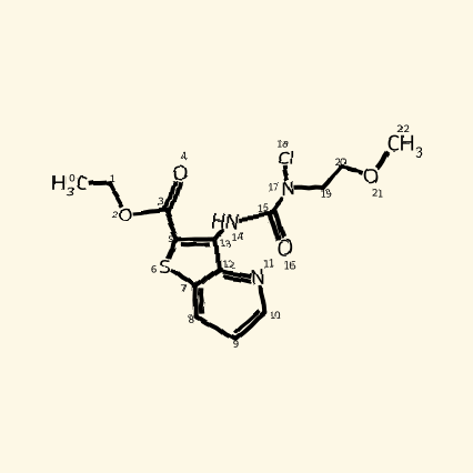 CCOC(=O)c1sc2cccnc2c1NC(=O)N(Cl)CCOC